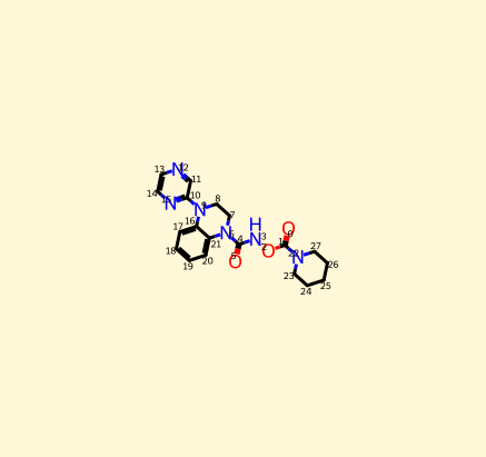 O=C(ONC(=O)N1CCN(c2cnccn2)c2ccccc21)N1CCCCC1